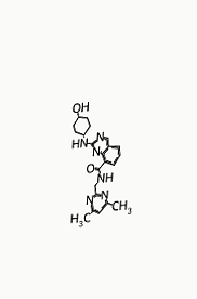 Cc1cc(C)nc(CNC(=O)c2cccc3cnc(N[C@H]4CC[C@H](O)CC4)nc23)n1